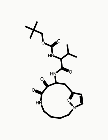 CC(C)C(NC(=O)OCC(C)(C)C)C(=O)NC1Cc2ccn(n2)CCCCNC(=O)C1=O